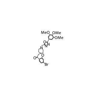 COc1cc(-c2nnc(CN3CCC4(CC3)CC(=O)c3ccc(Br)cc3O4)o2)cc(OC)c1OC